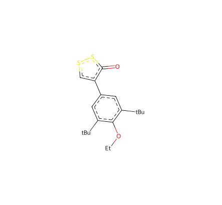 CCOc1c(C(C)(C)C)cc(-c2cssc2=O)cc1C(C)(C)C